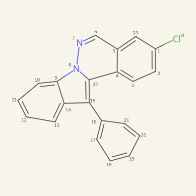 Clc1ccc2c(cnn3c4ccccc4c(-c4ccccc4)c23)c1